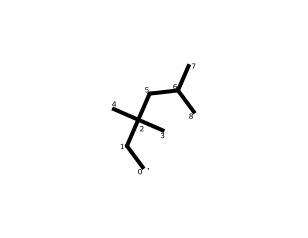 [CH2]CC(C)(C)C[C](C)C